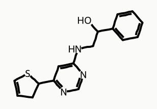 OC(CNc1cc(C2CC=CS2)ncn1)c1ccccc1